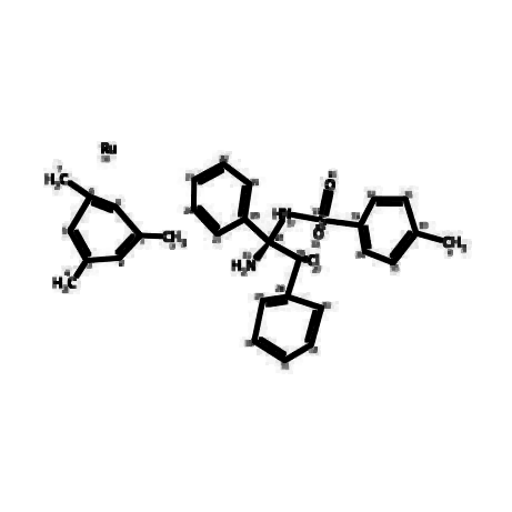 Cc1cc(C)cc(C)c1.Cc1ccc(S(=O)(=O)N[C@@](N)(c2ccccc2)[C@@H](Cl)c2ccccc2)cc1.[Ru]